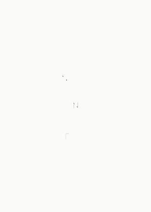 FCn1ccnc1